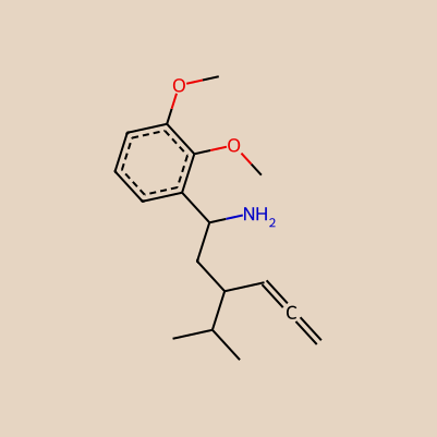 C=C=CC(CC(N)c1cccc(OC)c1OC)C(C)C